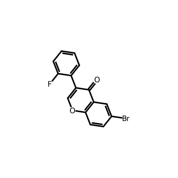 O=c1c(-c2ccccc2F)coc2ccc(Br)cc12